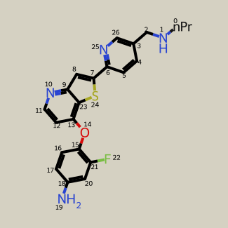 CCCNCc1ccc(-c2cc3nccc(Oc4ccc(N)cc4F)c3s2)nc1